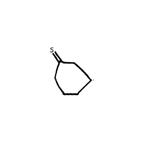 S=C1C[CH]CCC1